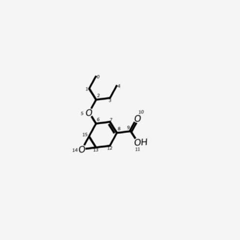 CCC(CC)OC1C=C(C(=O)O)CC2OC12